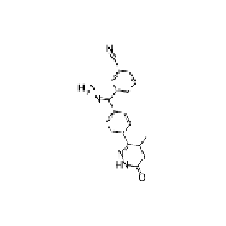 CC1CC(=O)NN=C1c1ccc(/C(=N/N)c2cccc(C#N)c2)cc1